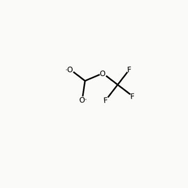 [O]C([O])OC(F)(F)F